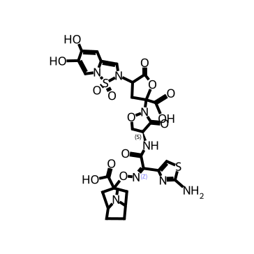 CN1C2CCC1CC(O/N=C(\C(=O)N[C@H]1CON(C3(C(=O)O)CC(N4C=C5C=C(O)C(O)=CN5S4(=O)=O)C(=O)O3)C1=O)c1csc(N)n1)(C(=O)O)C2